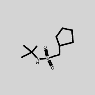 CC(C)(C)NS(=O)(=O)CC1CCCC1